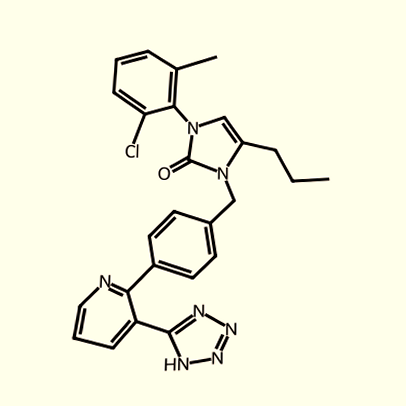 CCCc1cn(-c2c(C)cccc2Cl)c(=O)n1Cc1ccc(-c2ncccc2-c2nnn[nH]2)cc1